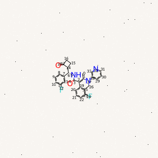 CC1=C(C(=O)N[C@H](c2cccc(F)c2)C2CCC2=O)c2cccc(F)c2CN1c1cccnc1